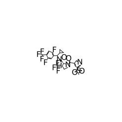 CS(=O)(=O)c1cncc(C(=O)N2CC[C@H](C(F)(F)F)[C@H]2C(=O)NC(c2cc(F)c(C(F)(F)F)cc2F)C2CC2)c1